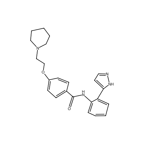 O=C(Nc1ccccc1-c1ccn[nH]1)c1ccc(OCCN2CCCCC2)cc1